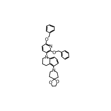 c1ccc(COc2ccc(N3CCCc4c(N5CCC6(CC5)OCCO6)cccc43)c(OCc3ccccc3)n2)cc1